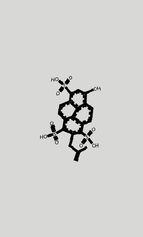 C=C(C)Cc1c(S(=O)(=O)O)c2ccc3c(O)cc(S(=O)(=O)O)c4ccc(c1S(=O)(=O)O)c2c34